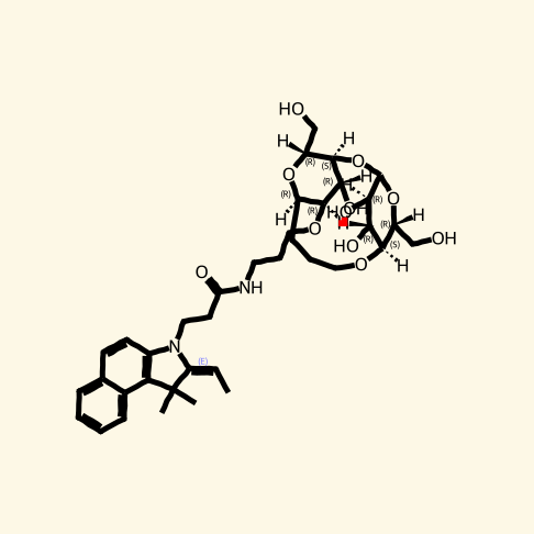 C/C=C1/N(CCC(=O)NCCCO[C@@H]2[C@@H](O)[C@@H]3OC4O[C@H](CO)[C@@H](OCCC[C@H]2O[C@@H]3CO)[C@H](O)[C@H]4O)c2ccc3ccccc3c2C1(C)C